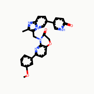 COc1cccc(-c2ccc3c(n2)N(Cc2c(C)nc4ccc(-c5ccc(=O)[nH]c5)cn24)C(=O)CO3)c1